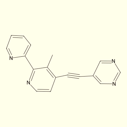 Cc1c(C#Cc2cncnc2)ccnc1-c1ccccn1